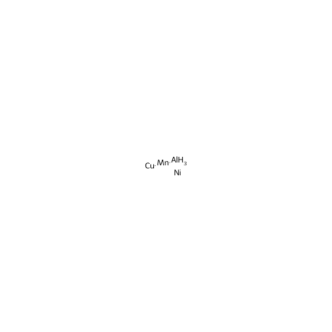 [AlH3].[Cu].[Mn].[Ni]